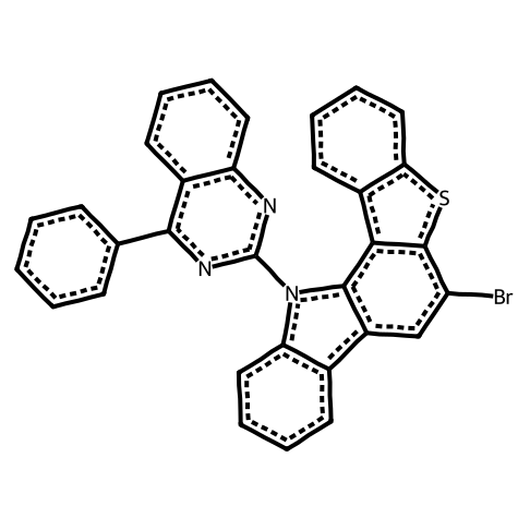 Brc1cc2c3ccccc3n(-c3nc(-c4ccccc4)c4ccccc4n3)c2c2c1sc1ccccc12